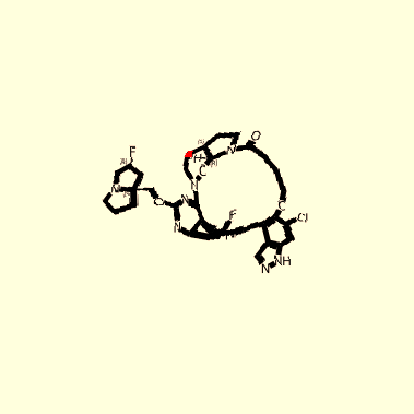 O=C1CCCCc2c(Cl)cc3[nH]ncc3c2-c2ncc3c(nc(OC[C@@]45CCCN4C[C@H](F)C5)nc3c2F)N2CC[C@H]3CCN1[C@H]3C2